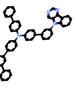 c1ccc(-c2ccc(N(c3ccc(-c4cccc(-c5ccccc5)c4)cc3)c3ccc(-c4cccc(-n5c6ccccc6c6ncncc65)c4)cc3)cc2)cc1